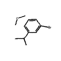 CC(C)c1cccc(Br)c1.COC